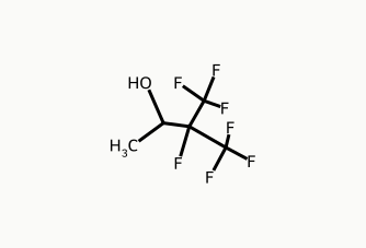 CC(O)C(F)(C(F)(F)F)C(F)(F)F